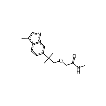 CNC(=O)COCC(C)(C)c1ccc2c(I)cnn2c1